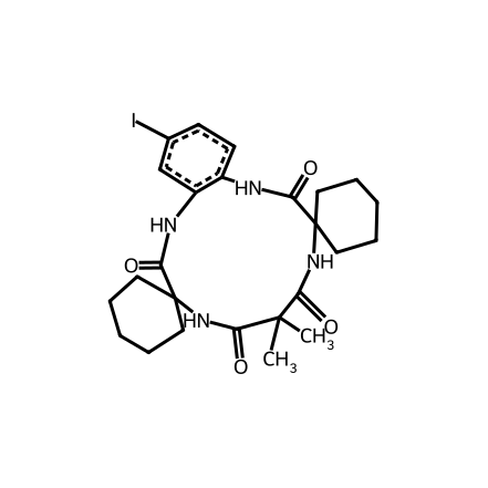 CC1(C)C(=O)NC2(CCCCC2)C(=O)Nc2ccc(I)cc2NC(=O)C2(CCCCC2)NC1=O